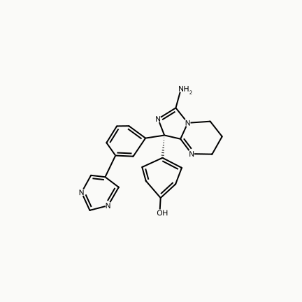 NC1=N[C@](c2ccc(O)cc2)(c2cccc(-c3cncnc3)c2)C2=NCCCN12